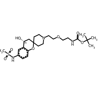 CC(C)(C)OC(=O)NCCOCCN1CCC2(CC1)C[C@@H](O)c1cc(NS(C)(=O)=O)ccc1O2